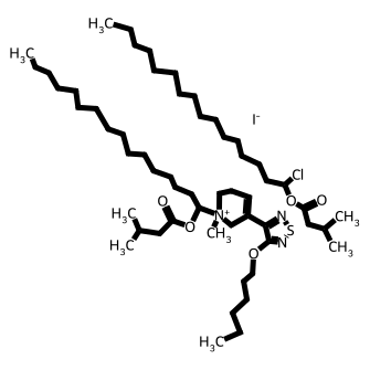 CCCCCCCCCCCCCCCC(Cl)OC(=O)CC(C)C.CCCCCCCCCCCCCCCC(OC(=O)CC(C)C)[N+]1(C)CCC=C(c2nsnc2OCCCCCC)C1.[I-]